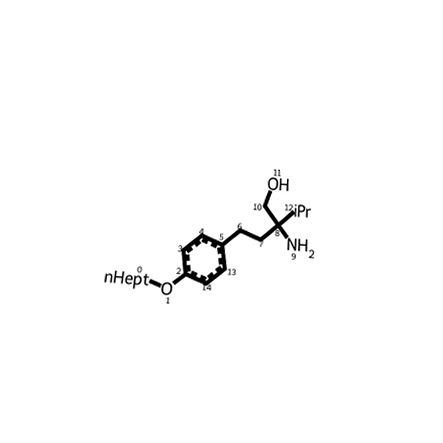 CCCCCCCOc1ccc(CCC(N)(CO)C(C)C)cc1